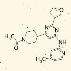 CC(=O)N1CCC(c2cc(Nc3cc(C)ccn3)nc(C3CCOC3)n2)CC1